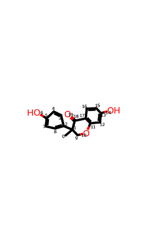 CC1(c2ccc(O)cc2)COc2cc(O)ccc2C1=O